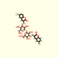 O=c1oc2ccc(Cl)cc2cc1COC1[C@@H](O)C(CO)O[C@@H](S[C@@H]2OC(CO)[C@H](O)C(OCc3cc4cc(Cl)ccc4oc3=O)[C@@H]2O)[C@@H]1O